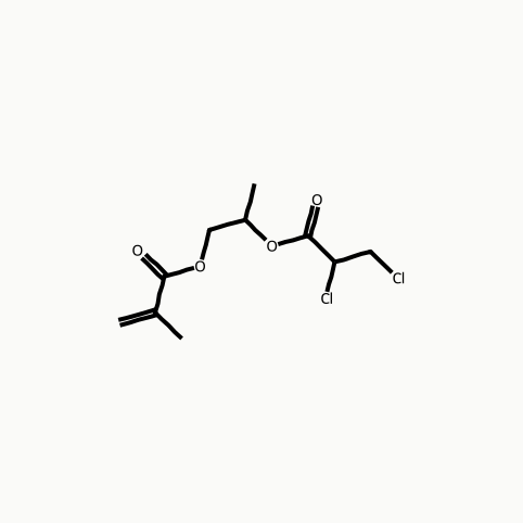 C=C(C)C(=O)OCC(C)OC(=O)C(Cl)CCl